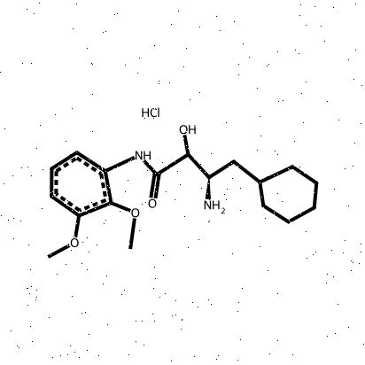 COc1cccc(NC(=O)C(O)[C@H](N)CC2CCCCC2)c1OC.Cl